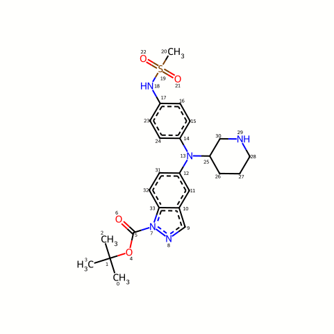 CC(C)(C)OC(=O)n1ncc2cc(N(c3ccc(NS(C)(=O)=O)cc3)C3CCCNC3)ccc21